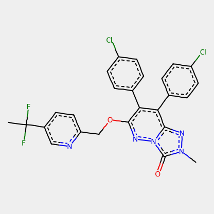 Cn1nc2c(-c3ccc(Cl)cc3)c(-c3ccc(Cl)cc3)c(OCc3ccc(C(C)(F)F)cn3)nn2c1=O